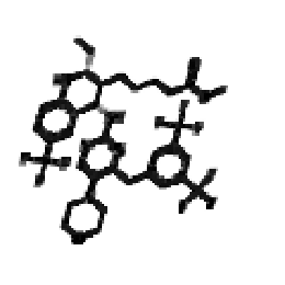 CC[C@H]1Nc2ccc(C(F)(F)F)cc2[C@@H](Nc2ncc(N3CCOCC3)c(Cc3cc(C(F)(F)F)cc(C(F)(F)F)c3)n2)C1CCCCC(=O)OC